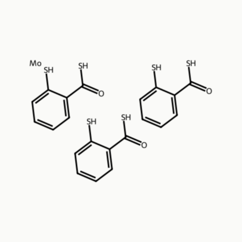 O=C(S)c1ccccc1S.O=C(S)c1ccccc1S.O=C(S)c1ccccc1S.[Mo]